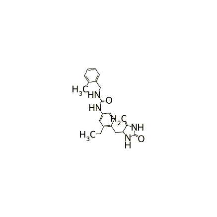 C=C1NC(=O)NC1Cc1ccc(NC(=O)NCc2ccccc2C)cc1CC